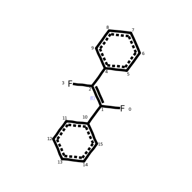 F/C(=C(/F)c1ccccc1)c1ccccc1